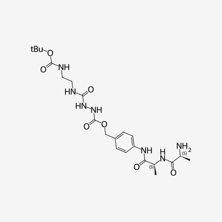 C[C@H](N)C(=O)N[C@@H](C)C(=O)Nc1ccc(COC(=O)NNC(=O)NCCNC(=O)OC(C)(C)C)cc1